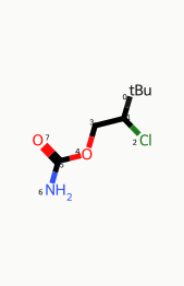 CC(C)(C)C(Cl)COC(N)=O